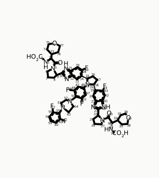 O=C(O)NC(C(=O)N1CCCC1c1nc2cc([C@H]3CC[C@@H](c4cc5nc(C6CCCN6C(=O)[C@@H](NC(=O)O)C6CCOCC6)[nH]c5cc4F)N3c3cc(F)c(N4CCN(c5c(F)cccc5F)CC4)c(F)c3)c(F)cc2[nH]1)C1CCOCC1